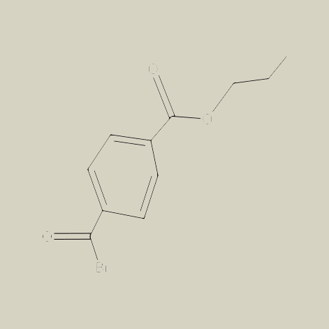 CCCOC(=O)c1ccc(C(=O)Br)cc1